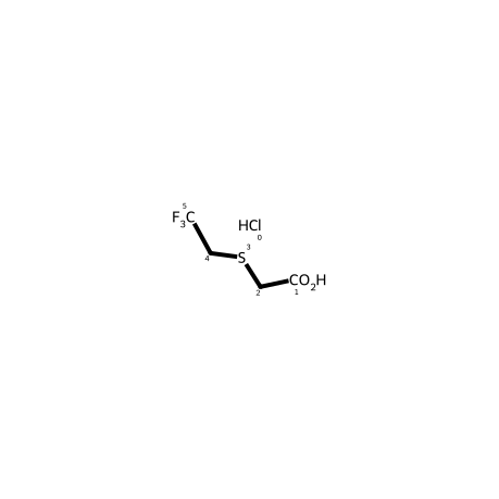 Cl.O=C(O)CSCC(F)(F)F